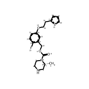 C[C@@H]1CNCCN1C(=O)OCc1cc(OCCc2cccs2)ccc1F